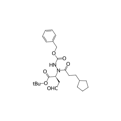 CC(C)(C)OC(=O)[C@H](CC=O)N(NC(=O)OCc1ccccc1)C(=O)CCC1CCCC1